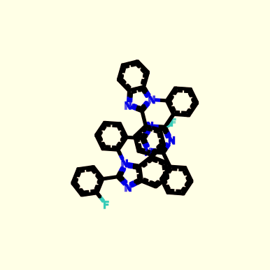 Fc1ccccc1-c1nc2ccccc2n1-c1ccccc1-c1nc(-c2ccccc2)nc(-c2ccccc2-n2c(-c3ccccc3F)nc3ccccc32)n1